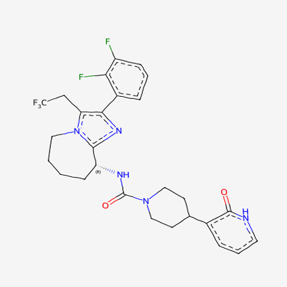 O=C(N[C@@H]1CCCCn2c1nc(-c1cccc(F)c1F)c2CC(F)(F)F)N1CCC(c2ccc[nH]c2=O)CC1